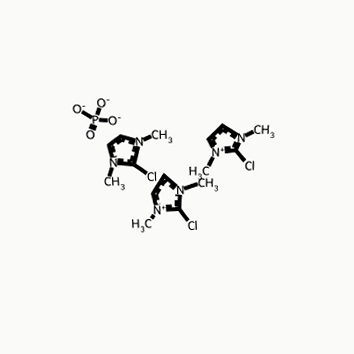 Cn1cc[n+](C)c1Cl.Cn1cc[n+](C)c1Cl.Cn1cc[n+](C)c1Cl.O=P([O-])([O-])[O-]